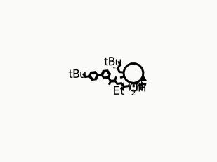 CCC(CC/C(C)=C(\C)c1cccc(-c2ccc(CC(C)(C)C)cc2)c1)C[C@@H]1CC(C)C(C[C@H](C)CC(C)(C)C)CCCCCCCC2C[C@]2(C(C)N)CC1O